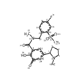 CC(=O)N1CCCC1c1nc(C(=O)N(C)Cc2ccc(F)cc2S(C)(=O)=O)c(O)c(=O)[nH]1